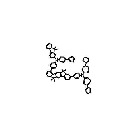 CC1(C)c2ccccc2-c2ccc(N(c3ccc(-c4ccccc4)cc3)c3ccc(-c4cccc5c4-c4cc6c(cc4C5(C)C)-c4ccc(-c5ccc(N(C7=CC=C(c8ccccc8)CC=C7)C7=CCC=C(c8ccccc8)C=C7)cc5)cc4C6(C)C)cc3)cc21